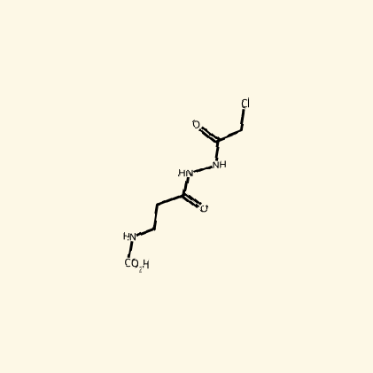 O=C(O)NCCC(=O)NNC(=O)CCl